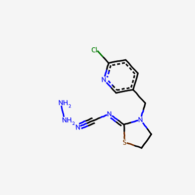 N#CN=C1SCCN1Cc1ccc(Cl)nc1.NN